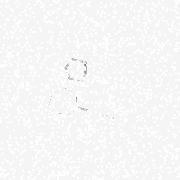 CCCCCCCC.O=C1CCCCCN1.c1ccccc1